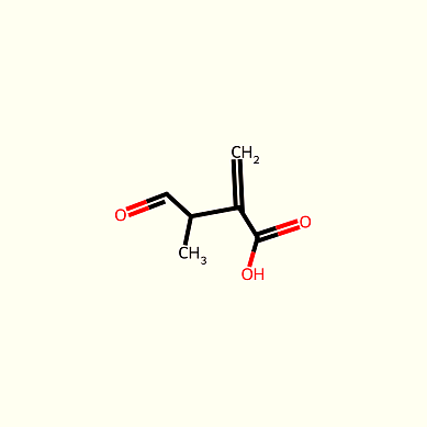 C=C(C(=O)O)C(C)C=O